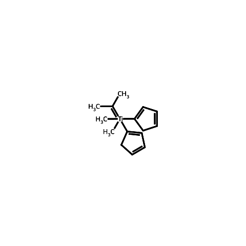 C[C](C)=[Ti]([CH3])([CH3])([C]1=CC=CC1)[C]1=CC=CC1